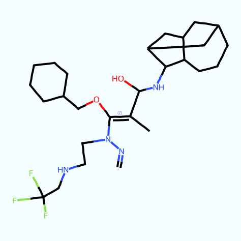 C=NN(CCNCC(F)(F)F)/C(OCC1CCCCC1)=C(\C)C(O)NC1C2CC3CCCC1C(C3)C2